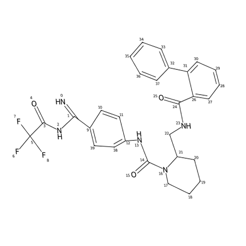 N=C(NC(=O)C(F)(F)F)c1ccc(NC(=O)N2CCCCC2CNC(=O)c2ccccc2-c2ccccc2)cc1